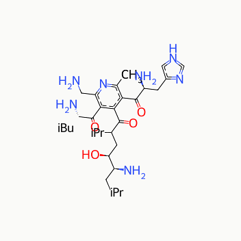 CC[C@H](C)[C@H](N)C(=O)c1c(CN)nc(C)c(C(=O)[C@@H](N)Cc2c[nH]cn2)c1C(=O)C(C[C@H](O)[C@@H](N)CC(C)C)C(C)C